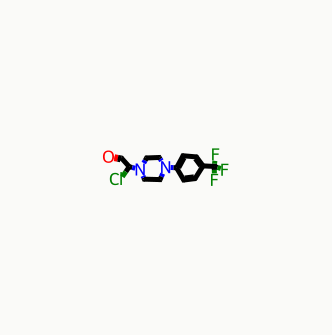 O=CC(Cl)N1CCN(c2ccc(C(F)(F)F)cc2)CC1